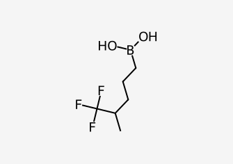 CC(CCCB(O)O)C(F)(F)F